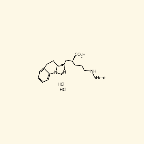 CCCCCCCNCCC[C@@H](Cc1ncn2c1CCc1ccccc1-2)C(=O)O.Cl.Cl